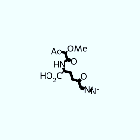 CO[C@H](C(C)=O)C(=O)N[C@@H](CCC(=O)C=[N+]=[N-])C(=O)O